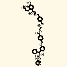 O=C(NC(c1ccccc1)c1cccc(OCc2ccc(C(=O)OCCNC(=O)c3ccc(CNC[C@@H](O)c4ccc(O)c5[nH]c(=O)ccc45)cc3)cc2)c1)O[C@H]1CN2CCC1CC2